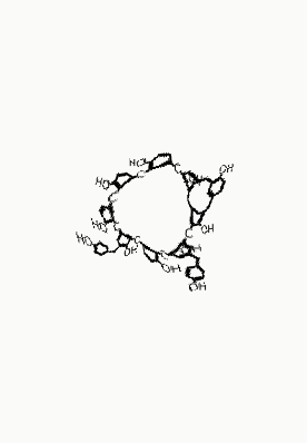 Oc1ccc(Cc2cc3c(O)c(c2)Cc2cc4cc(c2O)Cc2ccc(O)c(c2)Cc2cc(c(O)c(c2)C4)Cc2ccc(O)c(c2)Cc2ccc(O)c(c2)Cc2ccc(O)c(c2)Cc2cc(Cc4ccc(O)cc4)c(O)c(c2)Cc2ccc(O)c(c2)C3)cc1